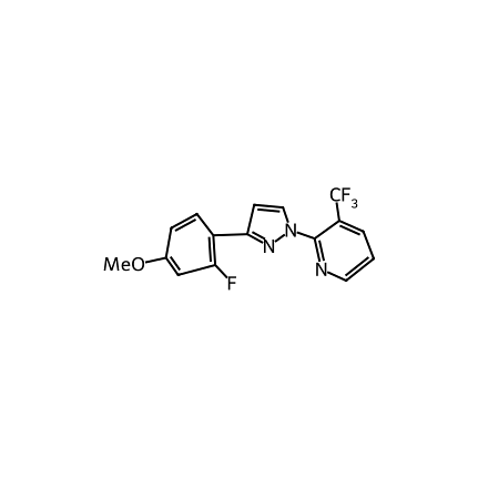 COc1ccc(-c2ccn(-c3ncccc3C(F)(F)F)n2)c(F)c1